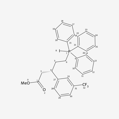 COC(=O)C[C@H](CCP(I)(c1ccccc1)(c1ccccc1)c1ccccc1)c1cccc(C(F)(F)F)c1